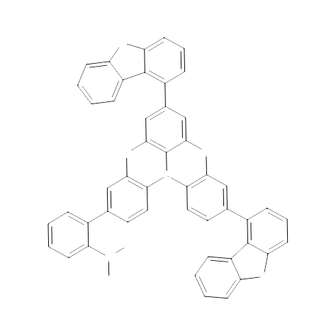 C[S+]([O-])c1ccccc1-c1ccc2c(c1)Oc1cc(-c3cccc4oc5ccccc5c34)cc3c1N2c1ccc(-c2cccc4oc5ccccc5c24)cc1O3